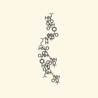 CC(C)CNC(=O)[C@@H](C)ONC(=O)c1cccc(C(=O)NO[C@H](C)C(=O)NCC(C)CCC(C)CNC(=O)[C@@H](CCCCNC(=O)OC(C)(C)C)ONC(=O)c2cccc(C(=O)NO[C@H](CCCCNC(=O)OC(C)(C)C)C(=O)NCC(C)C)c2)c1